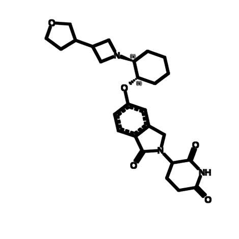 O=C1CCC(N2Cc3cc(O[C@H]4CCCC[C@@H]4N4CC(C5CCOC5)C4)ccc3C2=O)C(=O)N1